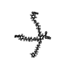 COC(=O)c1cc(OCCOCCOCCOCc2ccccc2)c(OCCOCCOCCOCc2ccc(OC)cc2)c(OCCOCCOCCOCc2ccc(OC)cc2)c1